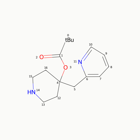 CC(C)(C)C(=O)OC1(Cc2ccccn2)CCNCC1